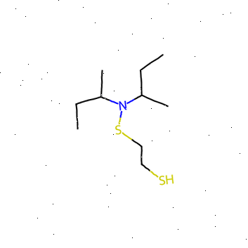 CCC(C)N(SCCS)C(C)CC